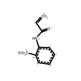 C=CC(=O)Nc1ccccc1C(=O)OCC